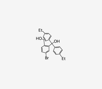 CCc1ccc(C(O)(c2ccc(CC)cc2)c2cc(Br)ccc2CO)cc1